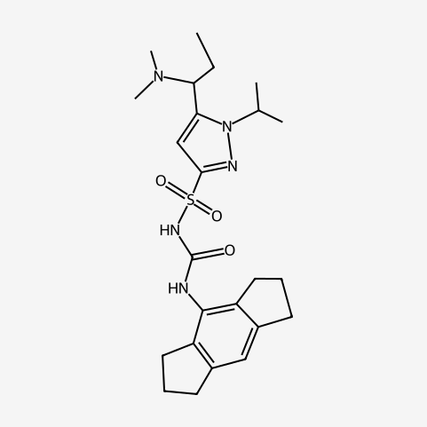 CCC(c1cc(S(=O)(=O)NC(=O)Nc2c3c(cc4c2CCC4)CCC3)nn1C(C)C)N(C)C